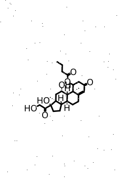 CCCC(=O)OC1CC(=O)C=C2CC[C@@H]3[C@H]([C@@H](O)C[C@@]4(C)[C@H]3CC[C@]4(O)C(=O)CO)[C@]21C